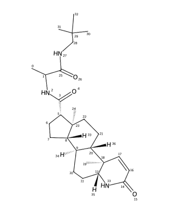 CC(NC(=O)[C@H]1CC[C@H]2[C@@H]3CC[C@H]4NC(=O)C=C[C@]4(C)[C@H]3CC[C@]12C)C(=O)NCC(C)(C)C